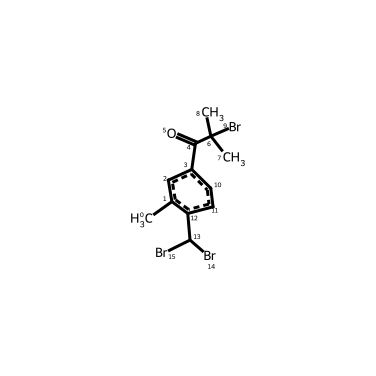 Cc1cc(C(=O)C(C)(C)Br)ccc1C(Br)Br